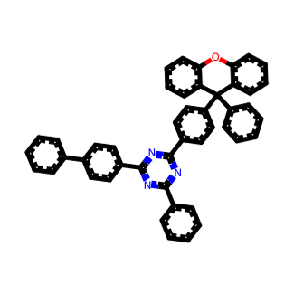 c1ccc(-c2ccc(-c3nc(-c4ccccc4)nc(-c4ccc(C5(c6ccccc6)c6ccccc6Oc6ccccc65)cc4)n3)cc2)cc1